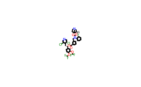 O=C(O[C@@H](Cc1c(Cl)cncc1Cl)c1ccc(OC(F)F)c(OC(F)F)c1)c1cccc(CN(C(=O)O[C@H]2CN3CCC2CC3)c2ccccc2F)c1